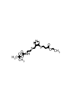 CCOC(=O)CCSc1snnc1CSCCNC(=O)OC(C)(C)C